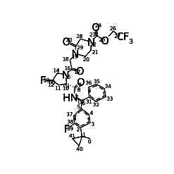 CC1(c2ccc([C@@H](NC(=O)[C@@H]3C[C@@H](F)CN3C(=O)CN3CCN(C(=O)OCC(F)(F)F)CC3=O)c3ccccc3)cc2F)CC1